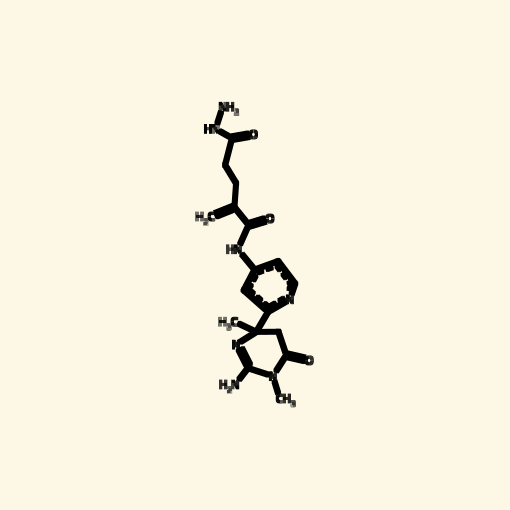 C=C(CCC(=O)NN)C(=O)Nc1ccnc(C2(C)CC(=O)N(C)C(N)=N2)c1